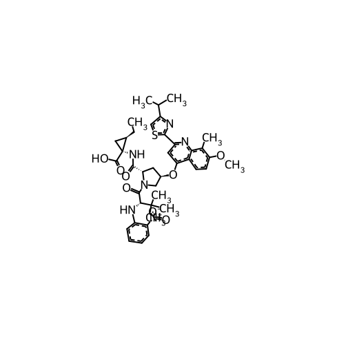 CC[C@@H]1C[C@]1(NC(=O)[C@@H]1C[C@@H](Oc2cc(-c3nc(C(C)C)cs3)nc3c(C)c(OC)ccc23)CN1C(=O)[C@@H](Nc1ccccc1[N+](=O)[O-])C(C)(C)C)C(=O)O